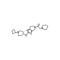 O=C(CN1CCCCC1)N1CCc2nc(OC3CCN(C4CCC4)CC3)sc2C1